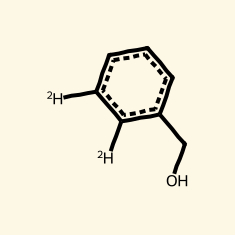 [2H]c1cccc(CO)c1[2H]